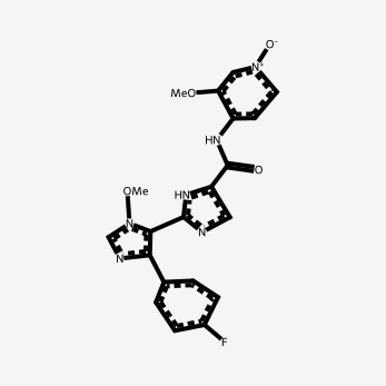 COc1c[n+]([O-])ccc1NC(=O)c1cnc(-c2c(-c3ccc(F)cc3)ncn2OC)[nH]1